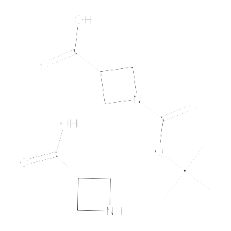 CC(C)(C)OC(=O)N1CC(C(=O)O)C1.O=C(O)C1CNC1